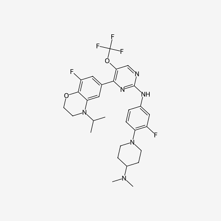 CC(C)N1CCOc2c(F)cc(-c3nc(Nc4ccc(N5CCC(N(C)C)CC5)c(F)c4)ncc3OC(F)(F)F)cc21